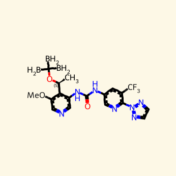 BC(B)(B)O[C@@H](C)c1c(NC(=O)Nc2cnc(-n3nccn3)c(C(F)(F)F)c2)cncc1OC